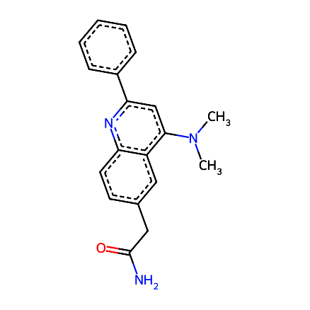 CN(C)c1cc(-c2ccccc2)nc2ccc(CC(N)=O)cc12